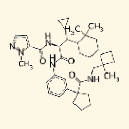 Cn1nccc1C(=O)N[C@H](C(=O)Nc1cccc(C2(C(=O)NCC3(C)CCC3)CCCC2)c1)C(C1CC1)C1CCCCC1(C)C